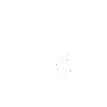 CCCCCCCCCCCCCCCCCC(=O)O.O=C(O)CC(O)C(=O)O.OCC(O)CO